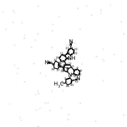 CC1C=C(N2c3ccccc3C3C=C(c4cccc5c4[nH]c4ccc(C#N)cc45)C(C4=CC[C@H](C#N)CC4)=CC2C3C)C(C#N)=CC1